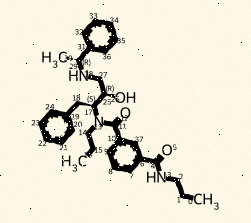 CCCNC(=O)c1cccc(C(=O)N(CCC)[C@@H](Cc2ccccc2)[C@H](O)CN[C@H](C)c2ccccc2)c1